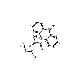 O=CC(=O)O.O=c1c2ccccc2sc2ccccc12.OCCO